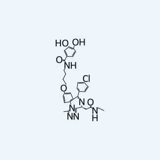 CCNC(=O)C[C@@H]1N=C(c2ccc(Cl)cc2)c2cc(OCCCCNC(=O)c3ccc(O)c(O)c3)ccc2-n2c(C)nnc21